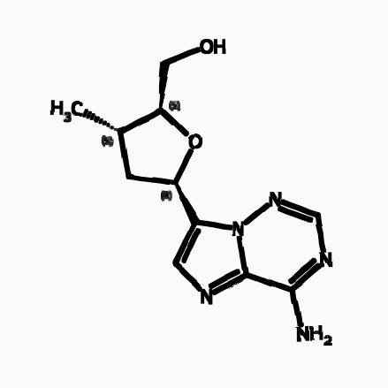 C[C@H]1C[C@H](c2cnc3c(N)ncnn23)O[C@@H]1CO